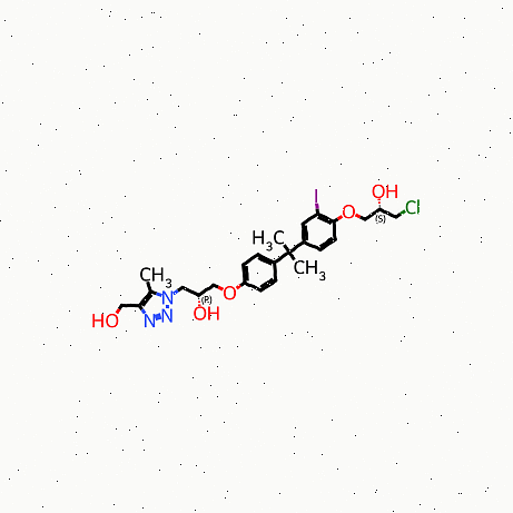 Cc1c(CO)nnn1C[C@@H](O)COc1ccc(C(C)(C)c2ccc(OC[C@H](O)CCl)c(I)c2)cc1